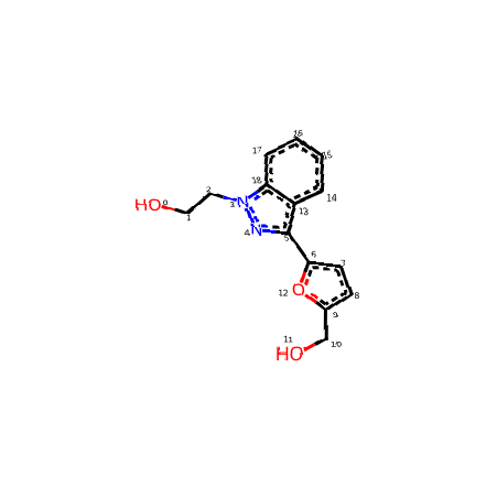 OCCn1nc(-c2ccc(CO)o2)c2ccccc21